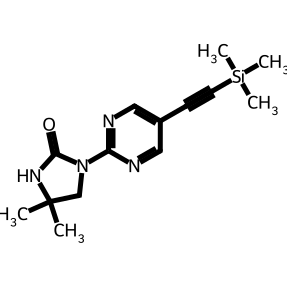 CC1(C)CN(c2ncc(C#C[Si](C)(C)C)cn2)C(=O)N1